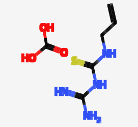 C=CCNC(=S)NC(=N)N.O=C(O)O